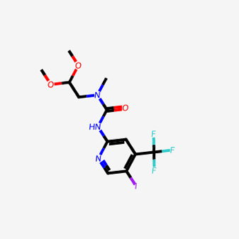 COC(CN(C)C(=O)Nc1cc(C(F)(F)F)c(I)cn1)OC